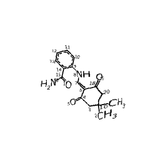 CC1(C)CC(=O)C(=CNc2ccccc2C(N)=O)C(=O)C1